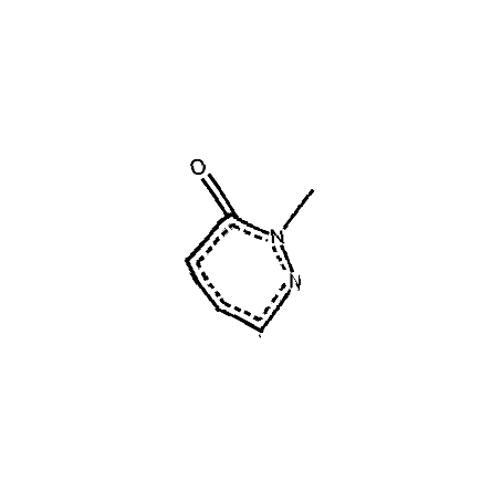 Cn1n[c]ccc1=O